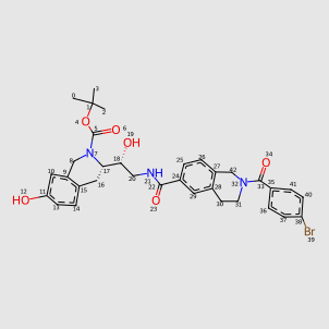 CC(C)(C)OC(=O)N1Cc2cc(O)ccc2C[C@H]1[C@H](O)CNC(=O)c1ccc2c(c1)CCN(C(=O)c1ccc(Br)cc1)C2